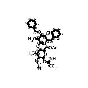 CC(=O)OCC1OC(OC(=N)C(Cl)(Cl)Cl)C(N=[N+]=[N-])[C@@H](C)[C@@H]1O[C@@H]1OC(Cc2ccccc2)[C@@H](C)[C@@H](OCc2ccccc2)C1C